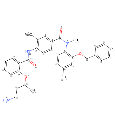 COc1cc(C(=O)N(C)c2ccc(C)cc2OCc2ccccc2)ccc1NC(=O)c1ccccc1OC(C)CCN